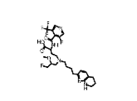 COC(CF)CN(CCCCc1ccc2c(n1)NCCC2)CCC(NC(=O)c1c(F)cncc1C(F)(F)F)C(=O)O